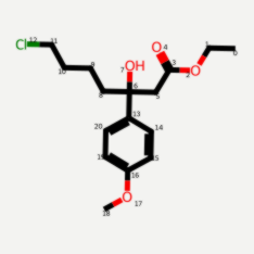 CCOC(=O)CC(O)(CCCCCl)c1ccc(OC)cc1